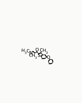 Cc1c(C(=O)C=CN(C)C)sc2ccc(Oc3ccccc3)cc12